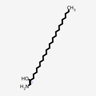 CCCCCCCCCCCCCCCCCCCCCCCC/C(O)=C/N